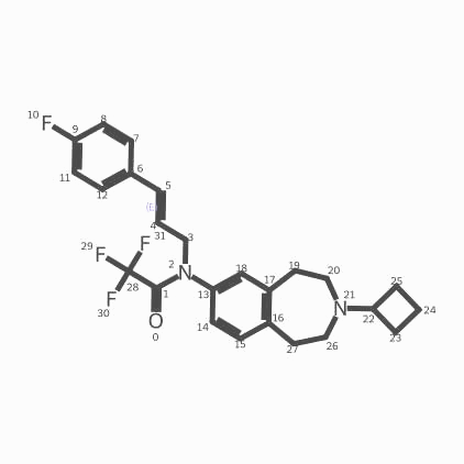 O=C(N(C/C=C/c1ccc(F)cc1)c1ccc2c(c1)CCN(C1CCC1)CC2)C(F)(F)F